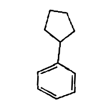 c1ccc(C2CCCC2)cc1